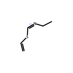 C=CS/C=N\CC